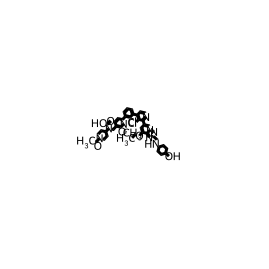 CCOc1cc(-c2nccc(-c3cccc(-c4ccc(CN(C(=O)O)C5CCN(C(C)=O)CC5)c(OC)n4)c3Cl)c2Cl)cn2nc(CNC3CCC(O)CC3)nc12